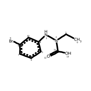 CCN(Nc1cccc(Br)c1)C(=O)O